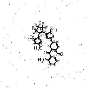 CC1=C(C(=O)C2=C(C=O)C=CC(c3cc(C4=C(c5sc(C)cc5C)C(F)(F)C(F)(F)C4(F)F)c(C)s3)C2)C=CCC1